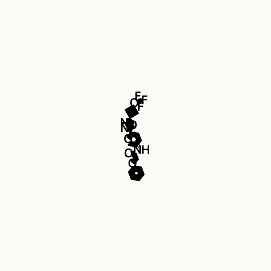 O=C(COc1ccccc1)N[C@H]1CC[C@H](c2nnc([C@H]3C[C@@H](OC(F)(F)F)C3)o2)OC1